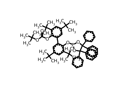 CC(C)(C)OC(=O)Oc1c(-c2cc(C(C)(C)C)cc(C(C)(C)C)c2OP2OC(c3ccccc3)(c3ccccc3)C(c3ccccc3)(c3ccccc3)O2)cc(C(C)(C)C)cc1C(C)(C)C